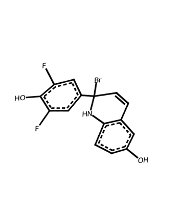 Oc1ccc2c(c1)C=CC(Br)(c1cc(F)c(O)c(F)c1)N2